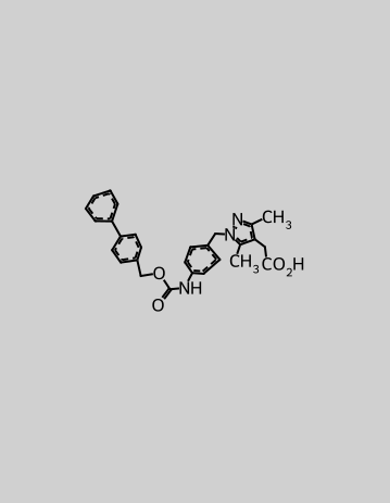 Cc1nn(Cc2ccc(NC(=O)OCc3ccc(-c4ccccc4)cc3)cc2)c(C)c1CC(=O)O